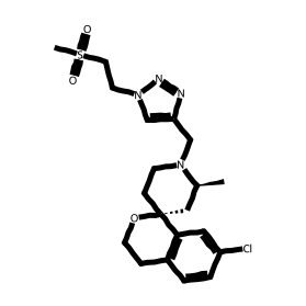 C[C@H]1C[C@@]2(CCN1Cc1cn(CCS(C)(=O)=O)nn1)OCCc1ccc(Cl)cc12